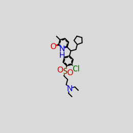 CCN(CC)CCCS(=O)(=O)c1ccc(C(CC2CCCC2)c2ccc(C)c(=O)[nH]2)cc1Cl